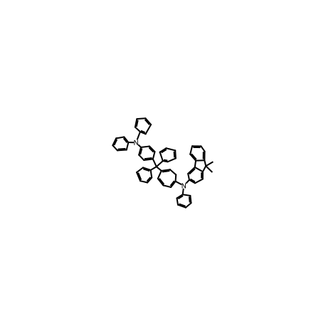 CC1(C)c2ccccc2-c2cc(N(C3=CC=CC(C(c4ccccc4)(c4ccccc4)c4ccc(N(c5ccccc5)c5ccccc5)cc4)=CC3)c3ccccc3)ccc21